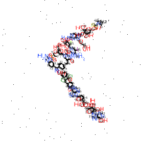 CC(C)S(=O)(=O)n1c(N)nc2ccc(/C(=N/O)c3ccccc3)cc21.CCN(CC)C(=S)[S-].CCc1cn([C@H]2C[C@H](O)[C@@H](CO)O2)c(=O)[nH]c1=O.Clc1ccccc1C1(Cl)CCc2ccccc2O1.Nc1nc(=O)n([C@@H]2O[C@H](CO)[C@@H](O)[C@@H]2F)cc1I.Nc1ncc2ncn(COCCO)c2n1.O=c1[nH]cnc2c1ncn2[C@H]1CC[C@@H](CO)O1.OC[C@H]1OC(O)C[C@@H](O)[C@@H]1O.OC[C@H]1O[C@@H](n2cnc3c(O)ncnc32)[C@H](O)[C@@H]1O.[Na+]